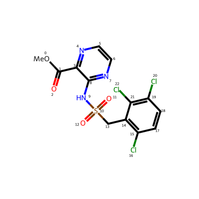 COC(=O)c1nccnc1NS(=O)(=O)Cc1c(Cl)ccc(Cl)c1Cl